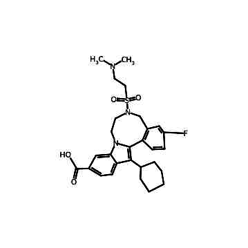 CN(C)CCS(=O)(=O)N1CCn2c(c(C3CCCCC3)c3ccc(C(=O)O)cc32)-c2ccc(F)cc2C1